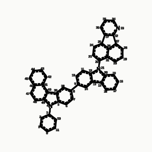 c1ccc(-n2c3ccc(-c4ccc5c(c4)c4ccccc4n5-c4ccc5c6c(cccc46)-c4ncccc4-5)cc3c3c4ccccc4ccc32)cc1